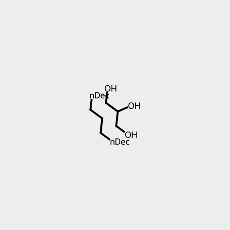 CCCCCCCCCCCCCCCCCCCCCCC.OCC(O)CO